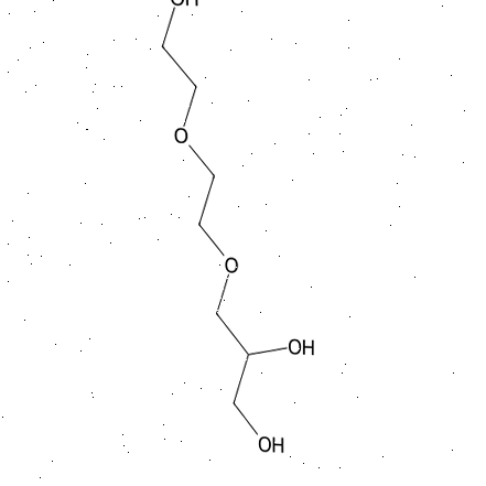 OCCOCCOCC(O)CO